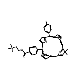 Cc1ccc(-c2c3nc(c(-c4ccc(C(=O)OCC[Si](C)(C)C)cc4)c4ccc(cc5nc(cc6ccc2[nH]6)C(C)(C)C=5)[nH]4)=CC3)cc1